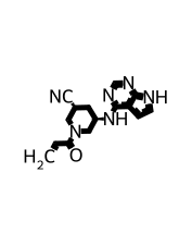 C=CC(=O)N1C[C@@H](C#N)C[C@@H](Nc2ncnc3[nH]ccc23)C1